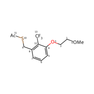 COCCOc1cccc(CSC(C)=O)c1C(F)(F)F